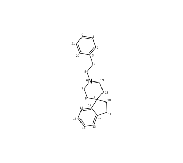 c1ccc(CCN2CCC3(CCc4ccccc43)CC2)cc1